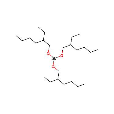 CCCCC(CC)C[O][Sb]([O]CC(CC)CCCC)[O]CC(CC)CCCC